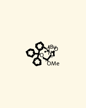 CO[C@@H](COC(c1ccccc1)(c1ccccc1)c1ccccc1)[C@@H]1CC(=O)N1[Si](C)(C)C(C)(C)C